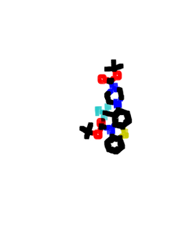 CC(C)(C)OC(=O)N1CCN(c2ccc3c(c2C(F)(F)F)N(C(=O)OC(C)(C)C)c2ccccc2S3)CC1